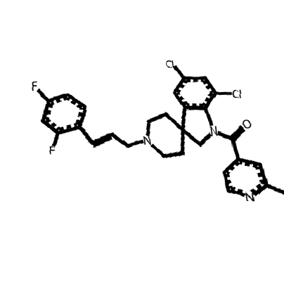 O=C(c1ccnc(Cl)c1)N1CC2(CCN(C/C=C/c3ccc(F)cc3F)CC2)c2cc(Cl)cc(Cl)c21